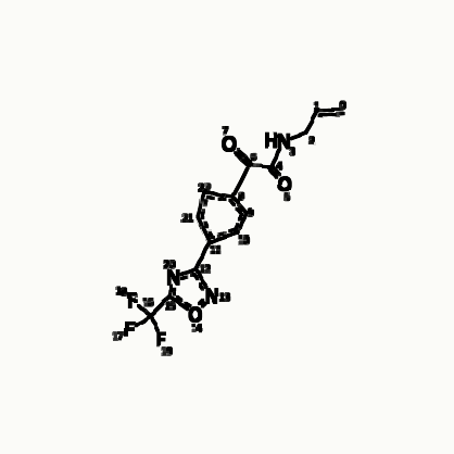 C=CCNC(=O)C(=O)c1ccc(-c2noc(C(F)(F)F)n2)cc1